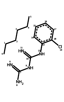 CCCCCC.N=C(N)NC(=N)Nc1ccccc1Cl